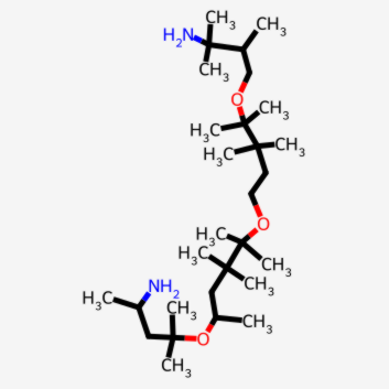 CC(N)CC(C)(C)OC(C)CC(C)(C)C(C)(C)OCCC(C)(C)C(C)(C)OCC(C)C(C)(C)N